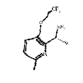 Cc1ccc(OCC(F)(F)F)c([C@@H](C)N)n1